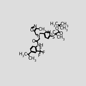 Cc1ncoc1CN(CC(=O)Nc1ccc(C(C)C)cc1C(F)(F)F)Cc1ccc(SC(C)(C)C(=O)OC(C)(C)C)cc1